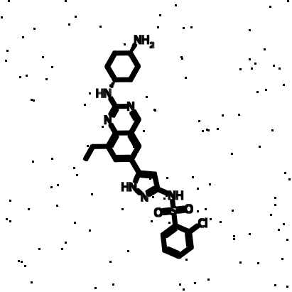 CCc1cc(-c2cc(NS(=O)(=O)c3ccccc3Cl)n[nH]2)cc2cnc(N[C@H]3CC[C@H](N)CC3)nc12